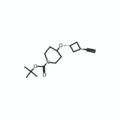 C#C[C@H]1C[C@H](OC2CCN(C(=O)OC(C)(C)C)CC2)C1